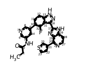 CCC(=O)Nc1cncc(-c2ccc3[nH]nc(-c4nc5c(-c6ccsc6)nccc5[nH]4)c3c2F)c1